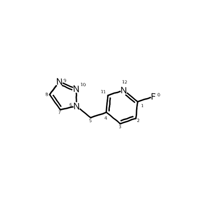 Fc1ccc(Cn2ccnn2)cn1